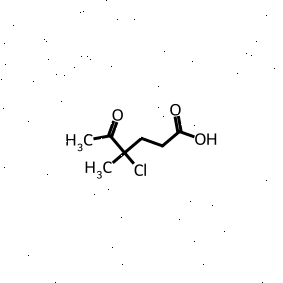 CC(=O)C(C)(Cl)CCC(=O)O